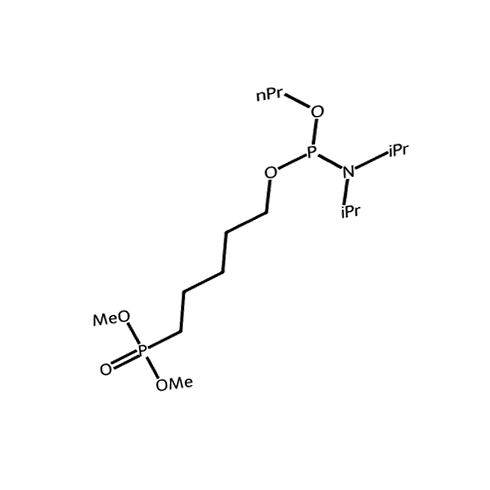 CCCOP(OCCCCCP(=O)(OC)OC)N(C(C)C)C(C)C